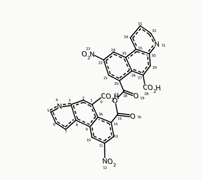 O=C(O)c1cc2ncccc2c2cc([N+](=O)[O-])cc(C(=O)OC(=O)c3cc([N+](=O)[O-])cc4c3c(C(=O)O)cc3ncccc34)c12